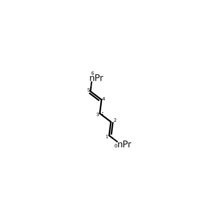 CCCC=C[C]C=CCCC